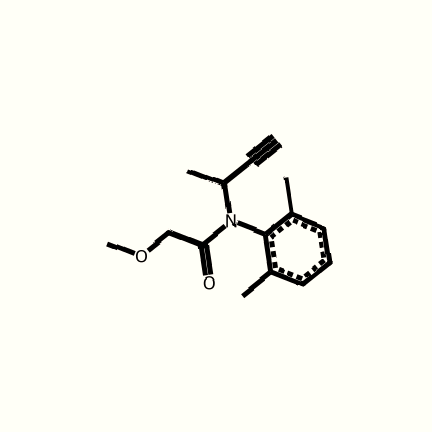 C#CC(C)N(C(=O)COC)c1c(C)cccc1C